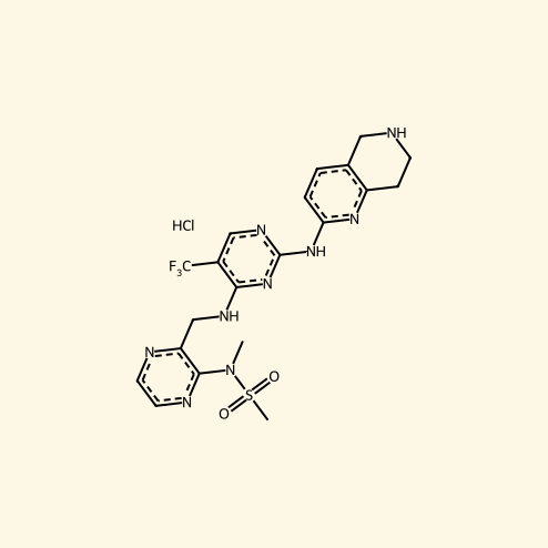 CN(c1nccnc1CNc1nc(Nc2ccc3c(n2)CCNC3)ncc1C(F)(F)F)S(C)(=O)=O.Cl